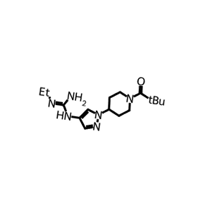 CC/N=C(\N)Nc1cnn(C2CCN(C(=O)C(C)(C)C)CC2)c1